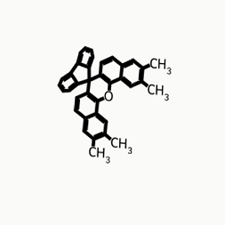 Cc1cc2ccc3c(c2cc1C)Oc1c(ccc2cc(C)c(C)cc12)C31c2ccccc2-c2ccccc21